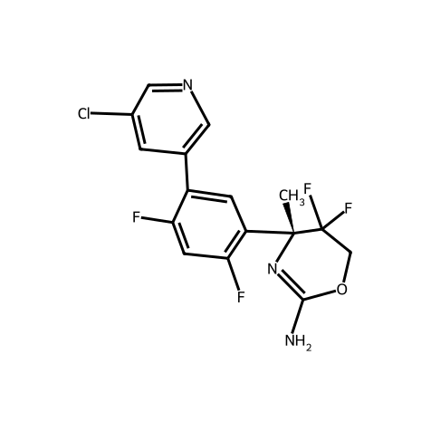 C[C@]1(c2cc(-c3cncc(Cl)c3)c(F)cc2F)N=C(N)OCC1(F)F